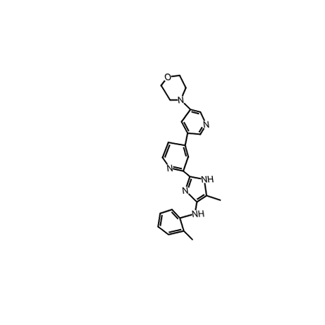 Cc1ccccc1Nc1nc(-c2cc(-c3cncc(N4CCOCC4)c3)ccn2)[nH]c1C